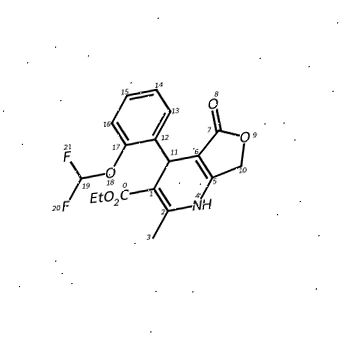 CCOC(=O)C1=C(C)NC2=C(C(=O)OC2)C1c1ccccc1OC(F)F